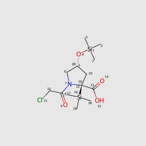 C[Si](C)(C)O[C@H]1CN(C(=O)CCl)[C@](C(=O)O)([Si](C)(C)C)C1